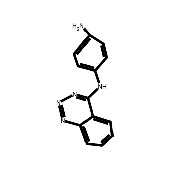 Nc1ccc(Nc2nnnc3ccccc23)cc1